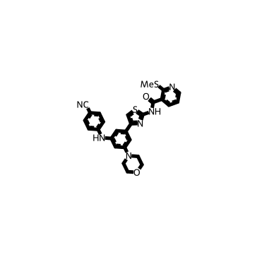 CSc1ncccc1C(=O)Nc1nc(-c2cc(Nc3ccc(C#N)cc3)cc(N3CCOCC3)c2)cs1